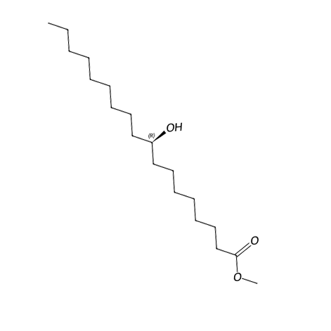 CCCCCCCCC[C@@H](O)CCCCCCCC(=O)OC